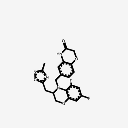 Cc1noc(CC2COc3cc(F)cc(F)c3N2Cc2ccc3c(c2)NC(=O)CO3)n1